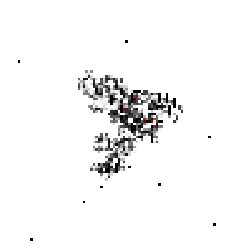 C[Si](C)(C)C1=C(F)C(F)(c2c(F)c(F)c(F)c(F)c2F)C(c2c(F)c(F)c(F)c(F)c2F)(c2c(F)c(F)c(F)c(F)c2F)C(F)=C1F.[O-]B[O-].c1ccc([C+](c2ccccc2)c2ccccc2)cc1.c1ccc([C+](c2ccccc2)c2ccccc2)cc1